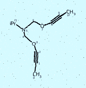 CC#COCN(COC#CC)C(C)C